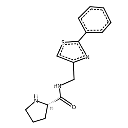 O=C(NCc1csc(-c2ccccc2)n1)[C@@H]1CCCN1